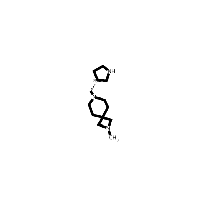 CN1CC2(CCN(C[C@@H]3CCNC3)CC2)C1